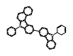 C1=CCC(n2c3ccccc3c3cc(-c4ccc5c(c4)c4c6ccccc6ccc4n5-c4ccccc4)ccc32)C=C1